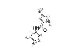 Cc1cc(NC(=O)c2cc(Br)cn2C)ccc1F